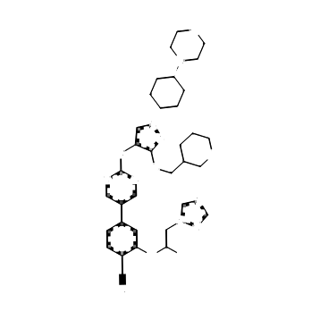 CC(Cn1cncn1)Oc1cc(-c2cnc(Nc3cn([C@H]4CC[C@H](N5CCOCC5)CC4)nc3OCC3CCCOC3)nc2)ccc1C#N